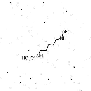 CCCNCCCCCNC(=O)O